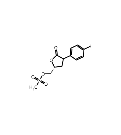 CS(=O)(=O)OC[C@H]1CC(c2ccc(I)cc2)C(=O)O1